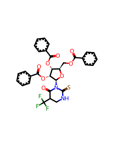 O=C(OC[C@H]1O[C@@H](N2C(=O)C(C(F)(F)F)CNC2=S)[C@H](OC(=O)c2ccccc2)[C@@H]1OC(=O)c1ccccc1)c1ccccc1